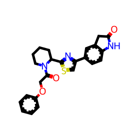 O=C1Cc2cc(-c3csc(C4CCCCN4C(=O)COc4ccccc4)n3)ccc2N1